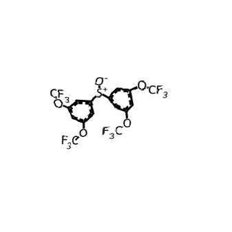 [O-][S+](c1cc(OC(F)(F)F)cc(OC(F)(F)F)c1)c1cc(OC(F)(F)F)cc(OC(F)(F)F)c1